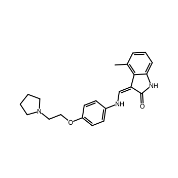 Cc1cccc2c1C(=CNc1ccc(OCCN3CCCC3)cc1)C(=O)N2